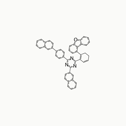 C1=CC(c2nc(-c3ccc(-c4ccc5ccccc5c4)cc3)nc(-c3ccc4ccccc4c3)n2)=C(c2cccc3oc4ccccc4c23)CC1